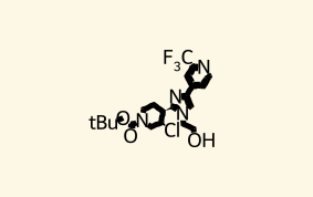 CC(C)(C)OC(=O)N1CC[C@H](c2nc(-c3ccnc(C(F)(F)F)c3)cn2CCO)[C@H](Cl)C1